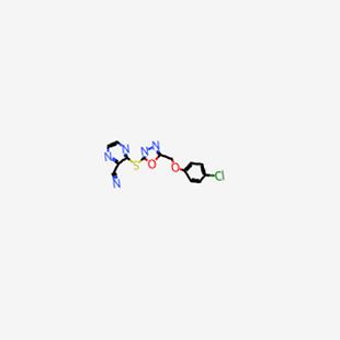 N#Cc1nccnc1Sc1nnc(COc2ccc(Cl)cc2)o1